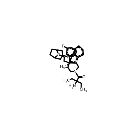 CCC(N)(CC)C(=O)N1CCC(CCN2C3CCC2CC(n2c(C)nc4ccccc42)C3)(c2cccc(F)c2)CC1